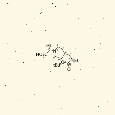 CCC(C(=O)O)N1CCC(CN(CC)C(=O)OC(C)(C)C)CC1